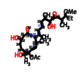 CCC(OC)C(C)C1OC1C(O)C(C)/C=C/C=C(\C)[C@H]1NC(=O)CC(O)CCC(C)(O)C(OC(C)=O)/C=C/[C@@H]1C